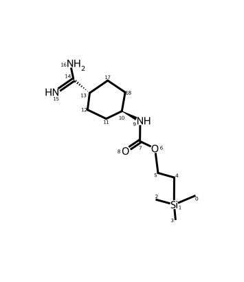 C[Si](C)(C)CCOC(=O)N[C@H]1CC[C@H](C(=N)N)CC1